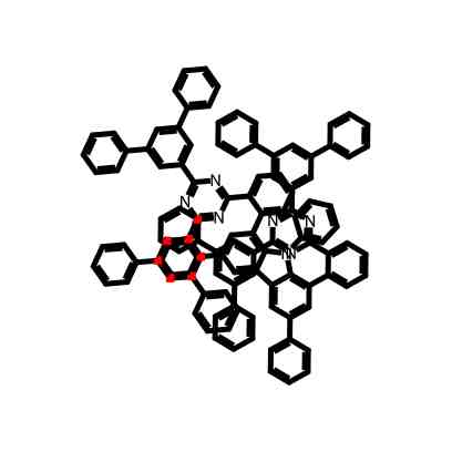 c1ccc(-c2cc(-c3ccccc3)cc(-c3nc(-c4cc(-c5ccccc5)cc(-c5ccccc5)c4)nc(-c4ccccc4-c4cc(-c5ccccc5)cc5c6cc(-c7ccccc7)cc(-c7ccccc7-c7nc(-c8cc(-c9ccccc9)cc(-c9ccccc9)c8)nc(-c8cc(-c9ccccc9)cc(-c9ccccc9)c8)n7)c6n(-c6ccccc6)c45)n3)c2)cc1